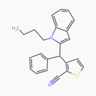 CCCCn1c(C(c2ccccc2)c2ccsc2C#N)cc2ccccc21